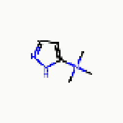 C[N+](C)(C)c1c[c]n[nH]1